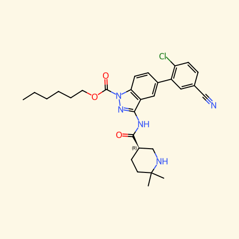 CCCCCCOC(=O)n1nc(NC(=O)[C@@H]2CCC(C)(C)NC2)c2cc(-c3cc(C#N)ccc3Cl)ccc21